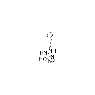 N=C(NCCCCc1ccccc1)c1nonc1O